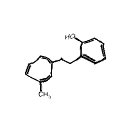 Cc1cccc(CCc2ccccc2O)c1